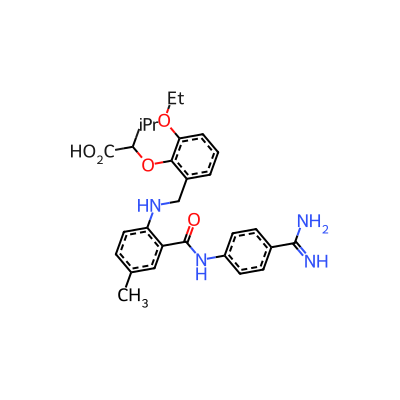 CCOc1cccc(CNc2ccc(C)cc2C(=O)Nc2ccc(C(=N)N)cc2)c1OC(C(=O)O)C(C)C